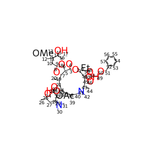 CC[C@H]1OC(=O)[C@H](C)[C@@H](O[C@H]2C[C@@](C)(OC)[C@@H](O)[C@H](C)O2)[C@H](C)[C@@H](O[C@@H]2O[C@H](C)C[C@H](N(C)C)[C@H]2OC(C)=O)[C@](C)(O)C[C@@H](C)CN(C)[C@H](C)[C@@H](OC(=O)COCc2ccccc2)[C@]1(C)O